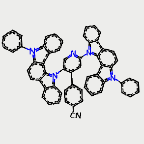 N#Cc1ccc(-c2cc(-n3c4ccccc4c4ccc5c(c6ccccc6n5-c5ccccc5)c43)ncc2-n2c3ccccc3c3ccc4c(c5ccccc5n4-c4ccccc4)c32)cc1